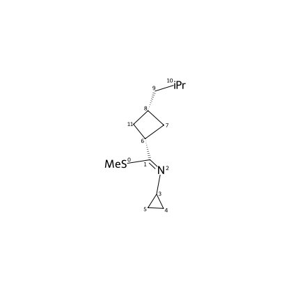 CS/C(=N\C1CC1)[C@H]1C[C@@H](CC(C)C)C1